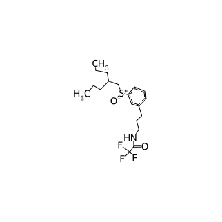 CCCC(CCC)C[S+]([O-])c1cccc(CCCNC(=O)C(F)(F)F)c1